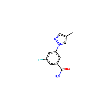 Cc1cnn(-c2cc(F)cc(C(N)=O)c2)c1